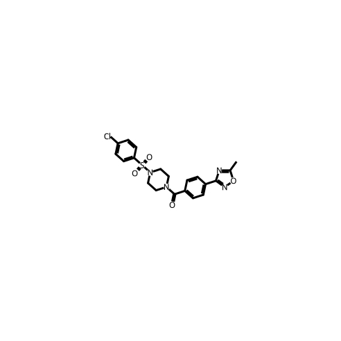 Cc1nc(-c2ccc(C(=O)N3CCN(S(=O)(=O)c4ccc(Cl)cc4)CC3)cc2)no1